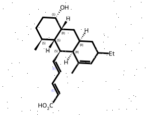 CCC1C=C(C)[C@@H]2[C@H](C1)C[C@@H]1[C@H]([C@@H]2/C=C/C=C/C(=O)O)[C@@H](C)CC[C@@H]1O